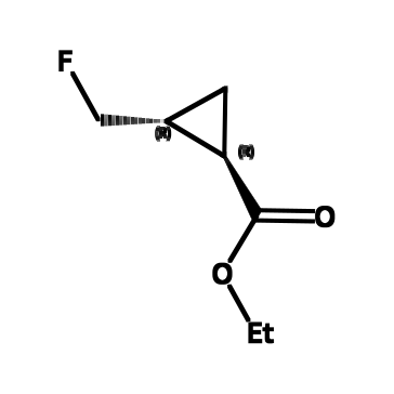 CCOC(=O)[C@@H]1C[C@H]1CF